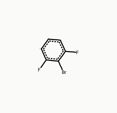 Fc1[c]ccc(F)c1Br